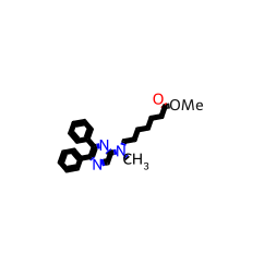 COC(=O)CCCCCCN(C)c1cnc(-c2ccccc2)c(-c2ccccc2)n1